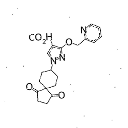 O=C(O)c1cn(C2CCC3(CC2)C(=O)CCC3=O)nc1OCc1ccccn1